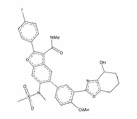 CNC(=O)c1c(-c2ccc(F)cc2)oc2cc(N(C)S(C)(=O)=O)c(-c3ccc(OC)c(-c4nc5c(o4)CCCC5O)c3)cc12